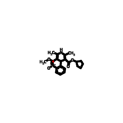 COC(=O)C1=C(C)NC(C)=C(C(=O)OC2CCCC2)C1c1ccccc1[N+](=O)[O-]